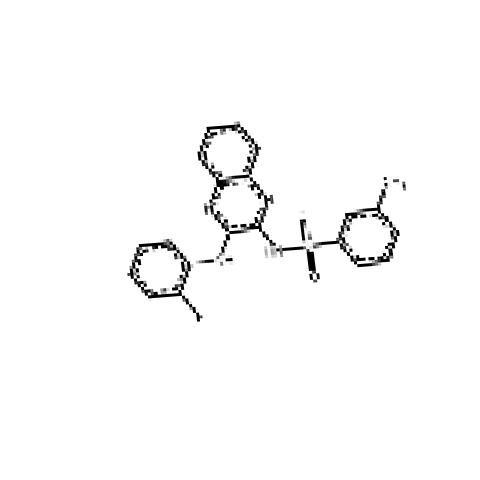 Cc1cccc(S(=O)(=O)Nc2nc3ccccc3nc2Nc2ccccc2F)c1